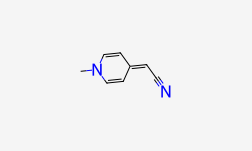 CN1C=CC(=CC#N)C=C1